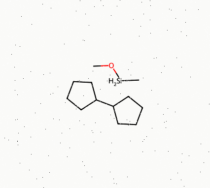 C1CCC(C2CCCC2)C1.CO[SiH2]C